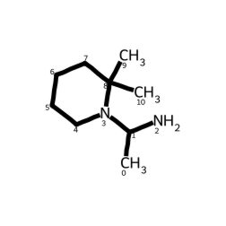 CC(N)N1CCCCC1(C)C